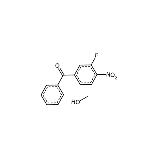 CO.O=C(c1ccccc1)c1ccc([N+](=O)[O-])c(F)c1